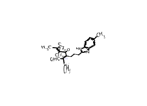 CC(C)=C(C)C(=O)/C(CCCc1nc2cc(C)ccc2[nH]1)=C(/C)C=O